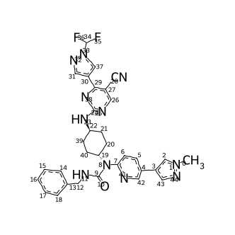 Cn1cc(-c2ccc(N(C(=O)NCc3ccccc3)[C@H]3CC[C@H](Nc4ncc(C#N)c(-c5cnn(C(F)F)c5)n4)CC3)nc2)cn1